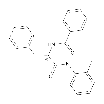 Cc1ccccc1NC(=O)[C@H](Cc1ccccc1)NC(=O)c1ccccc1